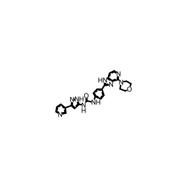 O=C(Nc1ccc(-c2nc3c(N4CCOCC4)nccc3[nH]2)cc1)Nc1cc(-c2cccnc2)n[nH]1